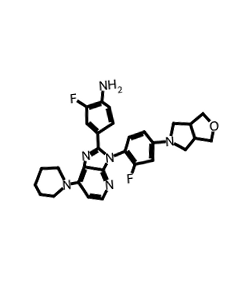 Nc1ccc(-c2nc3c(N4CCCCC4)ccnc3n2-c2ccc(N3CC4COCC4C3)cc2F)cc1F